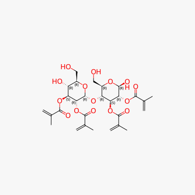 C=C(C)C(=O)O[C@@H]1[C@@H](OC(=O)C(=C)C)[C@H](O)O[C@H](CO)[C@H]1O[C@H]1O[C@H](CO)[C@@H](O)[C@H](OC(=O)C(=C)C)[C@H]1OC(=O)C(=C)C